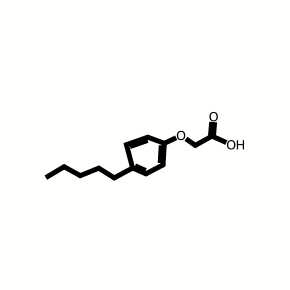 CCCCCc1ccc(OCC(=O)O)cc1